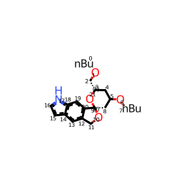 CCCCOC[C@@H]1CC(OCCCC)C[C@@]2(OCc3cc4cc[nH]c4cc32)O1